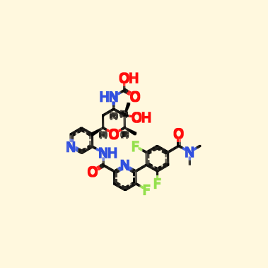 C[C@H]1O[C@@H](c2ccncc2NC(=O)c2ccc(F)c(-c3c(F)cc(C(=O)N(C)C)cc3F)n2)C[C@@H](NC(=O)O)[C@]1(C)O